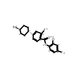 CC[C@H]1CC[C@H](c2ccc(C(=O)Oc3ccc(F)cc3Cl)c(F)c2)CC1